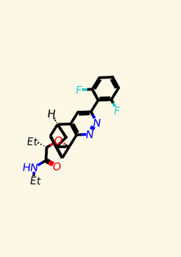 CCNC(=O)[C@H](CC)O[C@@]12c3nnc(-c4c(F)cccc4F)cc3[C@H]3CC14C3C42